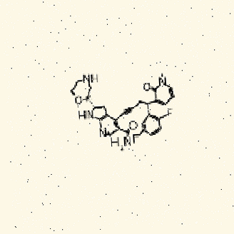 Cn1cccc(C(CC#Cc2c(C(N)=O)cnc3[nH]c([C@H]4CNCCO4)cc23)c2cc(F)ccc2F)c1=O